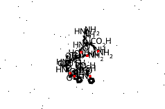 N=C(N)NCCC[C@H](NC(=O)[C@H](CCCNC(=N)N)NC(=O)CNC(=O)[C@H](CCCCN)NC(=O)[C@H](CS)NC(=O)[C@H](CO)NC(=O)[C@H](CO)NC(=O)CNC(=O)[C@H](Cc1ccccc1)NC(=O)[C@H](CC(=O)O)NC(=O)[C@H](CS)NC(=O)[C@@H](N)Cc1ccccc1)C(=O)O